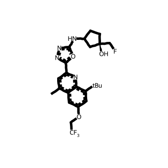 Cc1cc(-c2nnc(NC3CC[C@](O)(CF)C3)o2)nc2c(C(C)(C)C)cc(OCC(F)(F)F)cc12